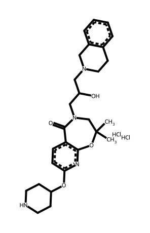 CC1(C)CN(CC(O)CN2CCc3ccccc3C2)C(=O)c2ccc(OC3CCNCC3)nc2O1.Cl.Cl